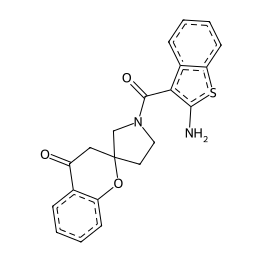 Nc1sc2ccccc2c1C(=O)N1CCC2(CC(=O)c3ccccc3O2)C1